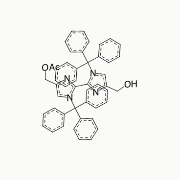 CC(=O)OCc1cn(C(c2ccccc2)(c2ccccc2)c2ccccc2)c(-c2nc(CO)cn2C(c2ccccc2)(c2ccccc2)c2ccccc2)n1